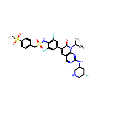 CC(C)n1c(=O)c(-c2cc(F)c(NS(=O)(=O)Cc3ccc(S(C)(=O)=O)cc3)c(F)c2)cc2cnc(N[C@@H]3CNC[C@@H](F)C3)nc21